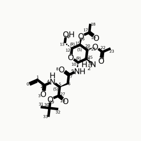 C=CC(=O)N[C@@H](CC(=O)N[C@@H]1O[C@H](CO)[C@@H](OC(C)=O)[C@H](OC(C)=O)[C@H]1N)C(=O)OC(C)(C)C